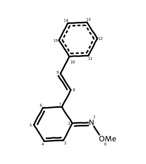 CON=C1C=CC=CC1C=Cc1ccccc1